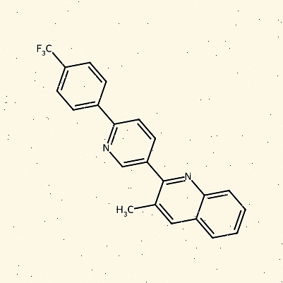 Cc1cc2ccccc2nc1-c1ccc(-c2ccc(C(F)(F)F)cc2)nc1